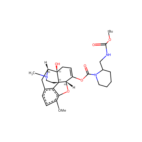 COc1ccc2c3c1O[C@H]1C(OC(=O)N4CCCCC4CNC(=O)OC(C)(C)C)=CC[C@@]4(O)[C@@H](C2)N(C)CC[C@]314